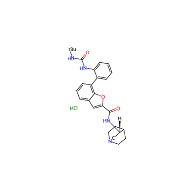 CC(C)(C)NC(=O)Nc1ccccc1-c1cccc2cc(C(=O)N[C@H]3CN4CCC3CC4)oc12.Cl